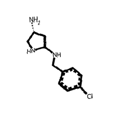 N[C@H]1CNC(NCc2ccc(Cl)cc2)C1